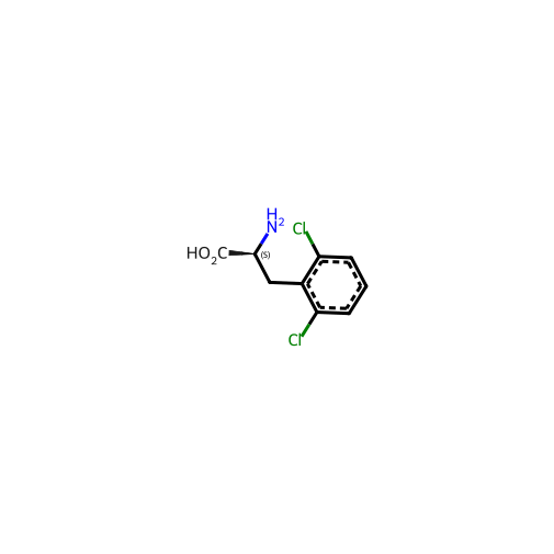 N[C@@H](Cc1c(Cl)cccc1Cl)C(=O)O